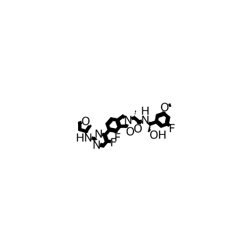 COc1cc(F)cc([C@@H](CO)NC(=O)[C@@H](C)N2Cc3ccc(-c4nc(NC5CCOC5)ncc4F)c(F)c3C2=O)c1